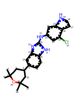 CC1(C)CC(c2ccc3[nH]c(Nc4cc(Cl)c5cc[nH]c5c4)nc3c2)CC(C)(C)O1